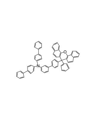 c1ccc(-c2ccc(N(c3ccc(-c4ccccc4)cc3)c3cccc(-c4ccc(C5(c6ccccc6)c6ccc7ccccc7c6Oc6c5ccc5ccccc65)cc4)c3)cc2)cc1